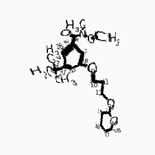 CON(C)C(=O)c1cc(OCCCOC2CCCCO2)cc(C(C)(C)C)c1